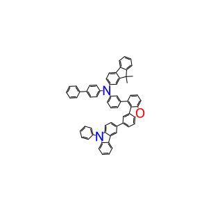 CC1(C)c2ccccc2-c2ccc(N(c3ccc(-c4ccccc4)cc3)c3cccc(-c4cccc5oc6ccc(-c7ccc8c(c7)c7ccccc7n8-c7ccccc7)cc6c45)c3)cc21